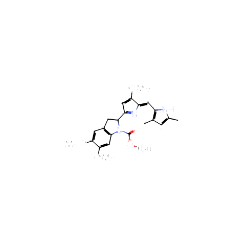 COC1=CC(C2Cc3cc(OC)c(OC)cc3N2C(=O)OC(C)(C)C)=N/C1=C\c1[nH]c(C)cc1C